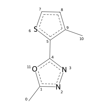 Cc1nnc(-c2sccc2C)o1